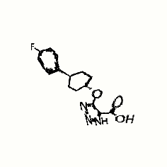 O=C(O)c1[nH]nnc1O[C@H]1CC[C@H](c2ccc(F)cc2)CC1